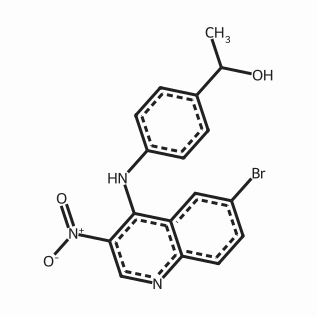 CC(O)c1ccc(Nc2c([N+](=O)[O-])cnc3ccc(Br)cc23)cc1